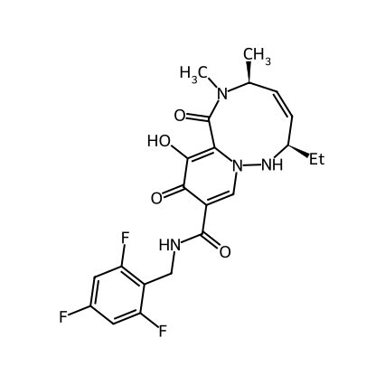 CC[C@@H]1/C=C\[C@H](C)N(C)C(=O)c2c(O)c(=O)c(C(=O)NCc3c(F)cc(F)cc3F)cn2N1